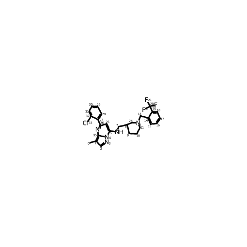 Cc1cnn2c(NCC3CCCN(Cc4ccccc4C(F)(F)F)C3)cc(-c3ccccc3Cl)nc12